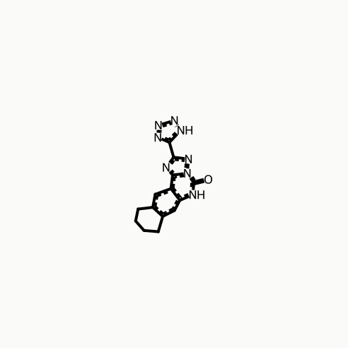 O=c1[nH]c2cc3c(cc2c2nc(-c4nnn[nH]4)nn12)CCCC3